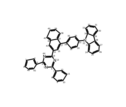 c1ccc(-c2nc(-c3ccccc3)nc(-c3cc(-c4ccc(-n5c6ccccc6c6ccccc65)cc4)c4ccccc4c3)n2)cc1